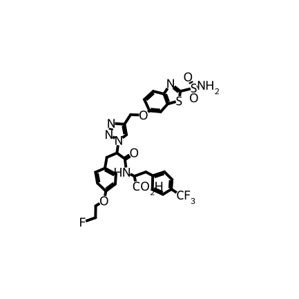 NS(=O)(=O)c1nc2ccc(OCc3cn(C(Cc4ccc(OCCF)cc4)C(=O)NC(Cc4ccc(C(F)(F)F)cc4)C(=O)O)nn3)cc2s1